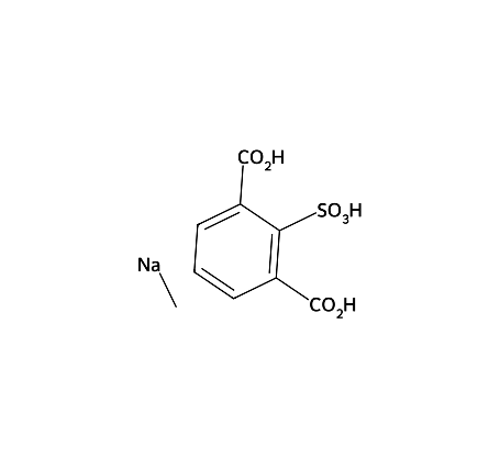 O=C(O)c1cccc(C(=O)O)c1S(=O)(=O)O.[CH3][Na]